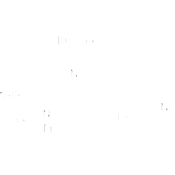 CCc1cc2cc(C(=O)N(CC(=O)OC)C(C)C)ccn2c1C(=O)c1ccc(CCCC2(C)CCCC2N)cc1